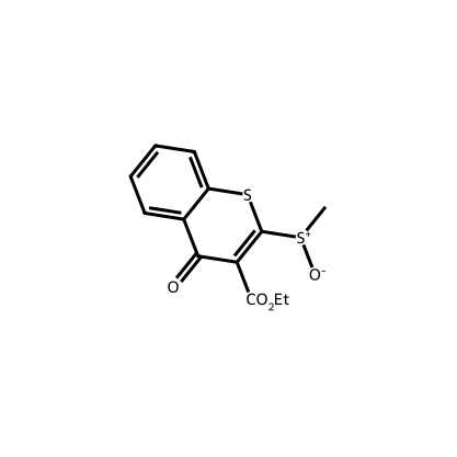 CCOC(=O)c1c([S+](C)[O-])sc2ccccc2c1=O